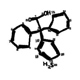 O=C(O)C(c1ccccc1)(c1ccccc1)c1ccccc1.S